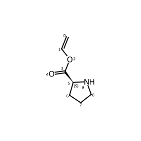 C=COC(=O)[C@@H]1CCCN1